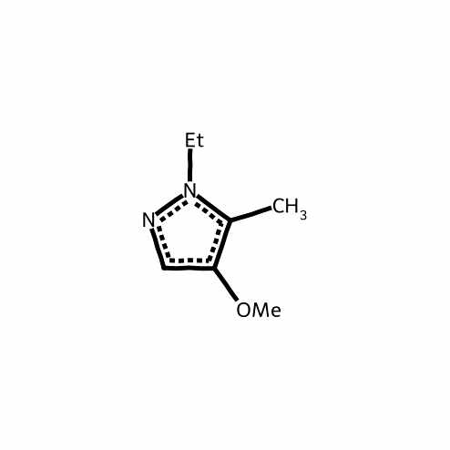 CCn1ncc(OC)c1C